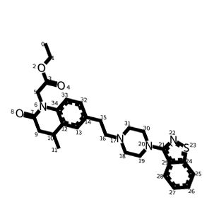 CCOC(=O)CN1C(=O)CC(C)c2cc(CCN3CCN(c4nsc5ccccc45)CC3)ccc21